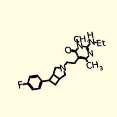 CCNc1nc(C)c(CCN2CC3CC(c4ccc(F)cc4)C3C2)c(=O)n1C